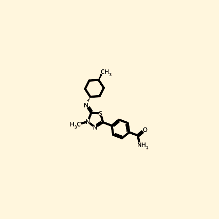 Cn1nc(-c2ccc(C(N)=O)cc2)sc1=N[C@H]1CC[C@H](C)CC1